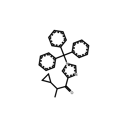 CC(C(=O)c1cn(C(c2ccccc2)(c2ccccc2)c2ccccc2)cn1)C1CC1